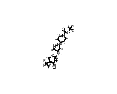 CC(C)(C)OC(=O)N1CCC(n2cc(Nc3ncc(C(F)(F)F)c(Cl)n3)cn2)CC1